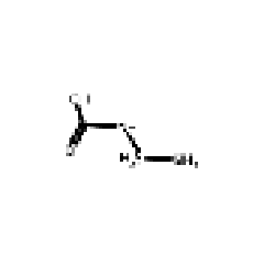 O=C(O)N[SiH2][SiH3]